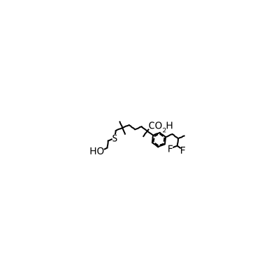 CC(Cc1cccc(C(C)(CCCC(C)(C)CSCCO)C(=O)O)c1)C(F)F